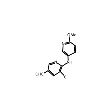 COc1ccc(Nc2ncc(C=O)cc2Cl)cn1